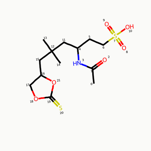 CC(=O)NC(CCS(=O)(=O)O)CC(C)(C)CC1COC(=S)O1